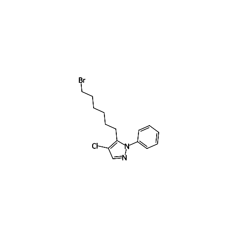 Clc1cnn(-c2ccccc2)c1CCCCCCBr